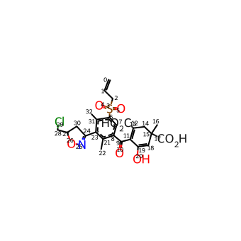 C=CCS(=O)(=O)c1cc(C(=O)C2=C(C(=O)O)CC(C)(C(=O)O)C=C2O)c(C)c(C2=NOC(CCl)C2)c1C